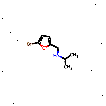 CC(C)NCc1ccc(Br)o1